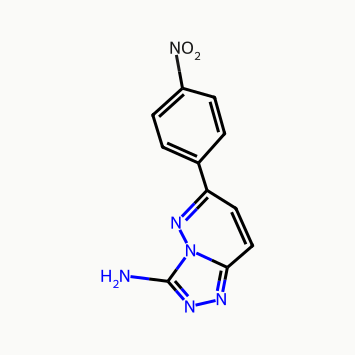 Nc1nnc2ccc(-c3ccc([N+](=O)[O-])cc3)nn12